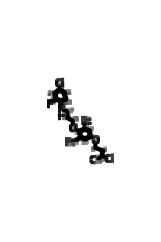 CCc1cc(OCC=C(Cl)Cl)cc(CC)c1OCCCNc1ccc(Cl)cc1F